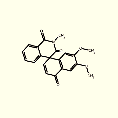 COc1cc2c(cc1OC)C1(C=CC2=O)C(=O)N(C)C(=O)c2ccccc21